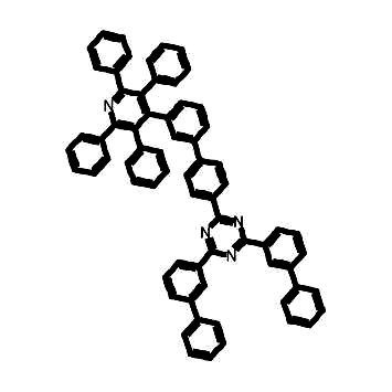 c1ccc(-c2cccc(-c3nc(-c4ccc(-c5cccc(-c6c(-c7ccccc7)c(-c7ccccc7)nc(-c7ccccc7)c6-c6ccccc6)c5)cc4)nc(-c4cccc(-c5ccccc5)c4)n3)c2)cc1